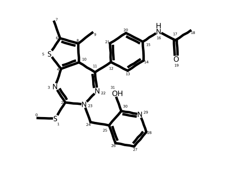 CSC1=Nc2sc(C)c(C)c2C(c2ccc(NC(C)=O)cc2)=NN1Cc1cccnc1O